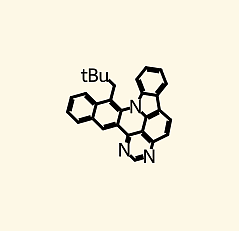 CC(C)(C)Cc1c2ccccc2cc2c3ncnc4ccc5c6ccccc6n(c12)c5c43